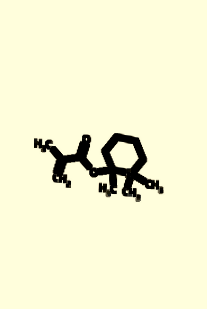 C=C(C)C(=O)OC1(C)CCCC[Si]1(C)C